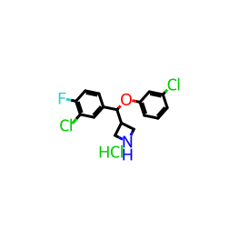 Cl.Fc1ccc(C(Oc2cccc(Cl)c2)C2CNC2)cc1Cl